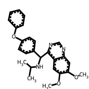 COc1cc2ncnc(C(NC(C)C)c3ccc(Oc4ccccc4)cc3)c2cc1OC